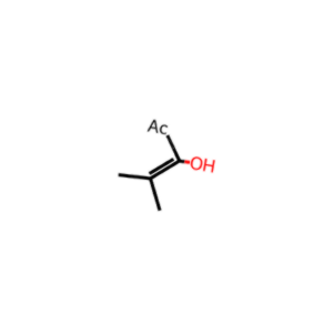 CC(=O)C(O)=C(C)C